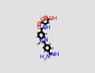 Cn1c(-c2ccc(C(=N)N)cc2)nc2cc(C(=O)NC(CC(=O)O)C(=O)O)ccc21